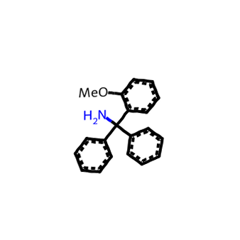 COc1ccccc1C(N)(c1ccccc1)c1ccccc1